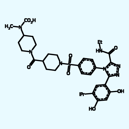 CCNC(=O)c1nnc(-c2cc(C(C)C)c(O)cc2O)n1-c1ccc(S(=O)(=O)N2CCC(C(=O)N3CCC(N(C)C(=O)O)CC3)CC2)cc1